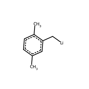 [Li][CH2]c1cc(C)ccc1C